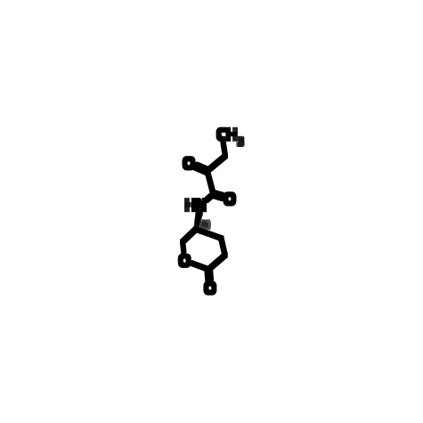 CCC(=O)C(=O)N[C@H]1CCC(=O)OC1